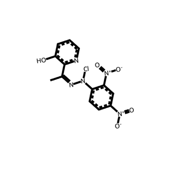 CC(=NN(Cl)c1ccc([N+](=O)[O-])cc1[N+](=O)[O-])c1ncccc1O